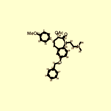 COc1ccc([C@H]2Cc3cc(OCc4ccccc4)ccc3N(CCN(C)C)C(=O)[C@H]2OC(C)=O)cc1